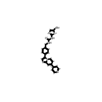 CC(C)(C)c1cnc(NC(=O)NCc2ccc(-c3cnc4cc(-c5ccncc5)ccn34)cc2)s1